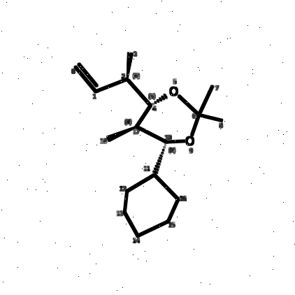 C=C[C@@H](C)[C@@H]1OC(C)(C)O[C@H](C2CCCCC2)[C@H]1C